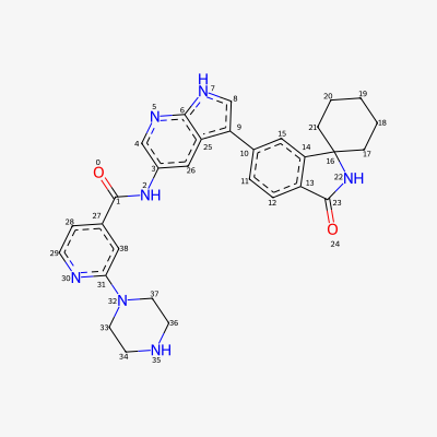 O=C(Nc1cnc2[nH]cc(-c3ccc4c(c3)C3(CCCCC3)NC4=O)c2c1)c1ccnc(N2CCNCC2)c1